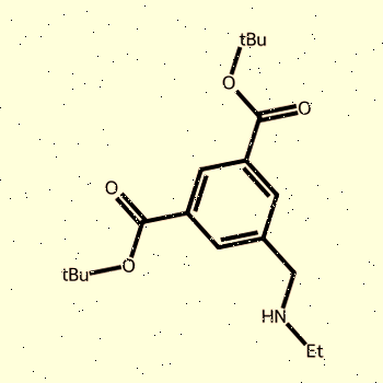 CCNCc1cc(C(=O)OC(C)(C)C)cc(C(=O)OC(C)(C)C)c1